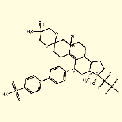 CC1(C)COC2(CCC3=C4C(CC[C@@]3(O)C2)C2CC[C@@](O)(C(F)(F)C(F)(F)F)[C@@]2(C)C[C@@H]4c2ccc(-c3ccc(S(C)(=O)=O)cc3)cc2)OC1